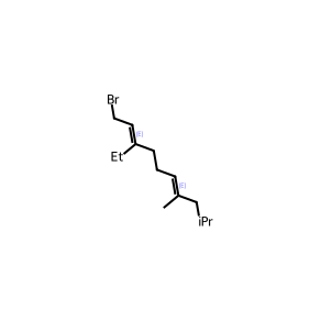 CC/C(=C\CBr)CC/C=C(\C)CC(C)C